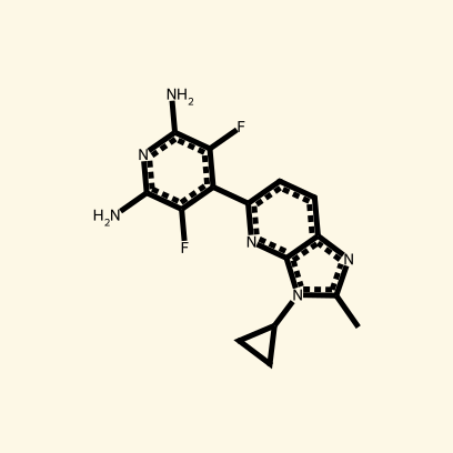 Cc1nc2ccc(-c3c(F)c(N)nc(N)c3F)nc2n1C1CC1